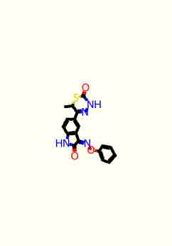 CC1SC(=O)NN=C1c1ccc2c(c1)C(=NOc1ccccc1)C(=O)N2